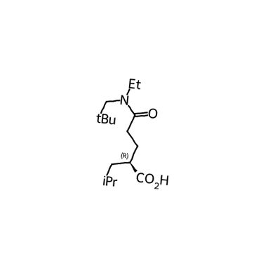 CCN(CC(C)(C)C)C(=O)CC[C@H](CC(C)C)C(=O)O